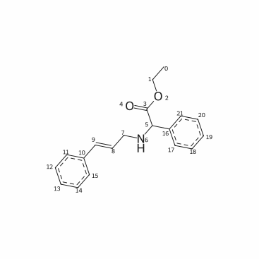 CCOC(=O)C(NC/C=C/c1ccccc1)c1ccccc1